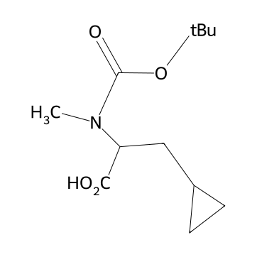 CN(C(=O)OC(C)(C)C)C(CC1CC1)C(=O)O